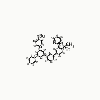 CCCCc1ccc(-c2cc(-c3ccccc3)cc(-c3cccc(-c4ccc(C(C)(CC)CC)c(-c5ccccn5)c4)c3)c2)cc1